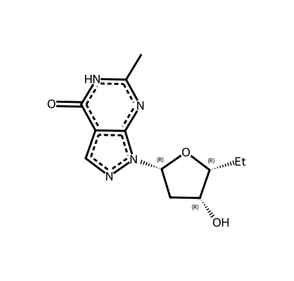 CC[C@H]1O[C@@H](n2ncc3c(=O)[nH]c(C)nc32)C[C@H]1O